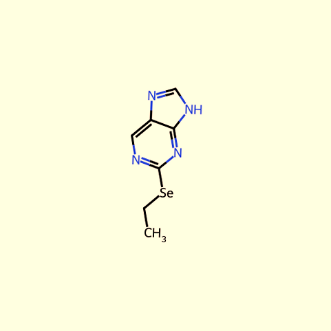 CC[Se]c1ncc2nc[nH]c2n1